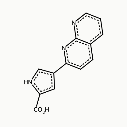 O=C(O)c1cc(-c2ccc3cccnc3n2)c[nH]1